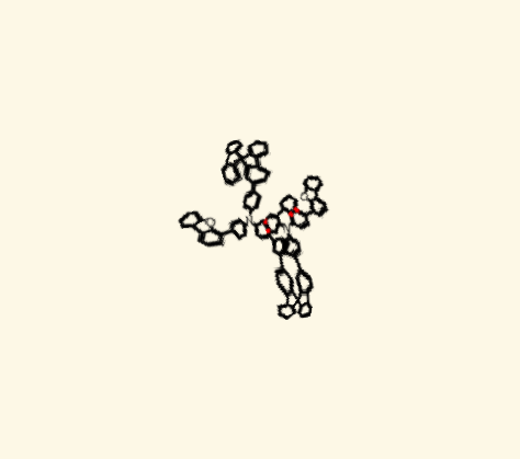 c1ccc(-c2ccccc2N(c2ccc(-c3ccc4c(c3)C3(c5ccccc5-4)c4ccccc4-c4ccc(-c5cccc(-c6ccc(N(c7ccc(-c8ccc9c(c8)C8(c%10ccccc%10-c%10ccccc%108)c8ccccc8-9)cc7)c7ccc(-c8cccc9c8oc8ccccc89)cc7)cc6)c5)cc43)cc2)c2ccc(-c3cccc4c3oc3ccccc34)cc2)cc1